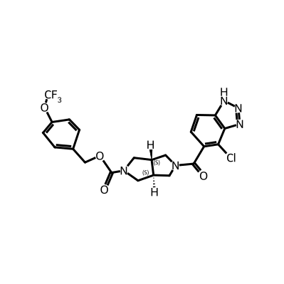 O=C(OCc1ccc(OC(F)(F)F)cc1)N1C[C@@H]2CN(C(=O)c3ccc4[nH]nnc4c3Cl)C[C@H]2C1